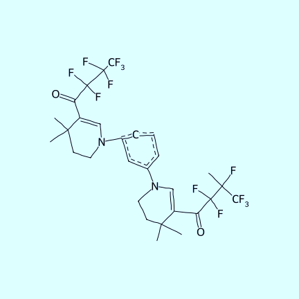 CC1(C)CCN(c2cccc(N3C=C(C(=O)C(F)(F)C(F)(F)C(F)(F)F)C(C)(C)CC3)c2)C=C1C(=O)C(F)(F)C(C)(F)C(F)(F)F